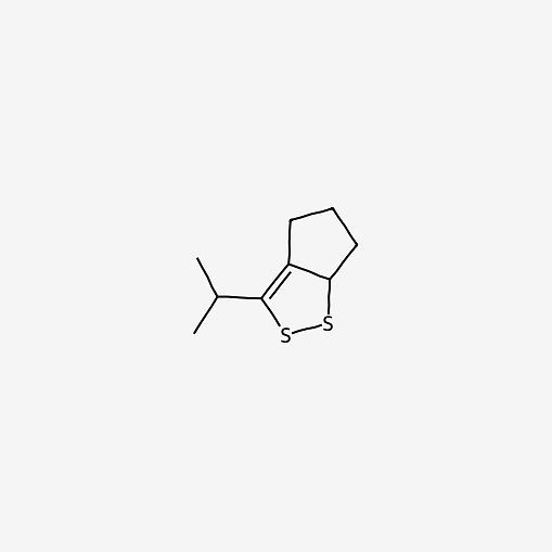 CC(C)C1=C2CCCC2SS1